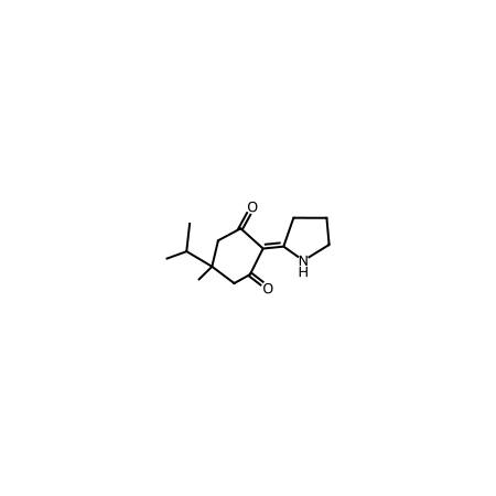 CC(C)C1(C)CC(=O)C(=C2CCCN2)C(=O)C1